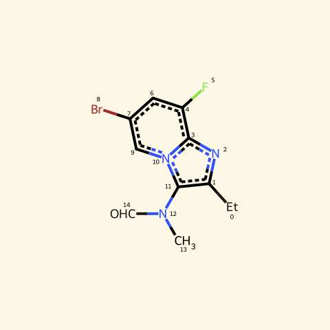 CCc1nc2c(F)cc(Br)cn2c1N(C)C=O